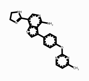 Cc1ccnc(Oc2ccc(-c3csc4c(C5=NCCN5)cnc(N)c34)cc2)n1